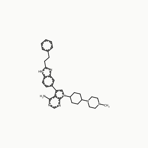 CN1CCN(C2CCC(n3cc(-c4ccc5[nH]c(CCc6ccccc6)nc5c4)c4c(N)ncnc43)CC2)CC1